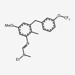 CCN(C)/C=N/c1cc(OC)cc(Cc2cccc(OC(F)(F)F)c2)c1C